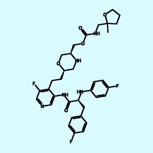 CC1(CNC(=O)OC[C@@H]2CO[C@H](CCc3c(F)cncc3NC(=O)[C@H](Cc3ccc(F)cc3)Nc3ccc(F)cc3)CN2)CCCO1